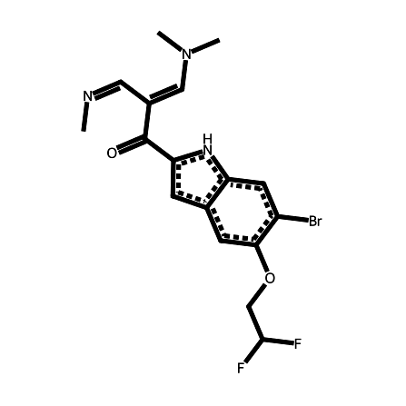 C/N=C\C(=C/N(C)C)C(=O)c1cc2cc(OCC(F)F)c(Br)cc2[nH]1